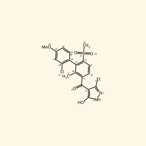 CCc1n[nH]c(O)c1C(=O)c1ccc(S(C)(=O)=O)c(-c2ccc(OC)cc2Cl)c1C